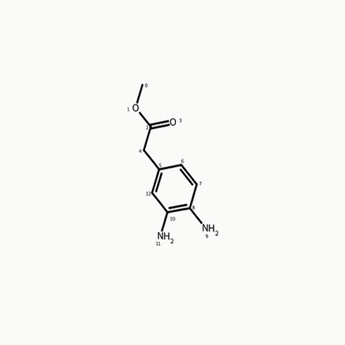 COC(=O)Cc1ccc(N)c(N)c1